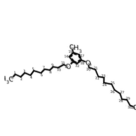 CCCCCCCCCCCCOc1cc(C)cc(OCCCCCCCCCCCC)c1